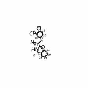 C[C@H](NC(=O)/C(C#N)=C/c1ccc(Cl)c(Cl)c1)c1ccccc1